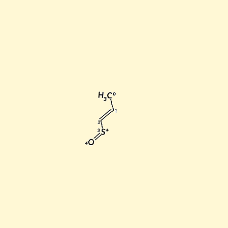 CC=C[S+]=O